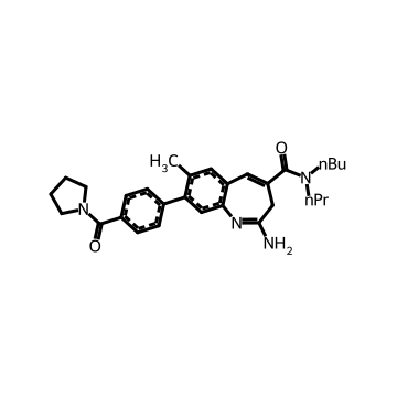 CCCCN(CCC)C(=O)C1=Cc2cc(C)c(-c3ccc(C(=O)N4CCCC4)cc3)cc2N=C(N)C1